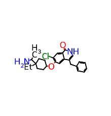 CCC1(C(C)N)CCC(Oc2cc3c(Cc4ccccc4)c[nH]c(=O)c3cc2Cl)CC1